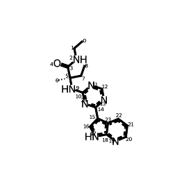 CCNC(=O)[C@@](C)(CC)Nc1ncnc(-c2c[nH]c3ncccc23)n1